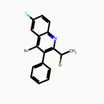 [CH2]C(=O)c1c(-c2ccccc2)c(C(C)Br)nc2ccc(F)cc12